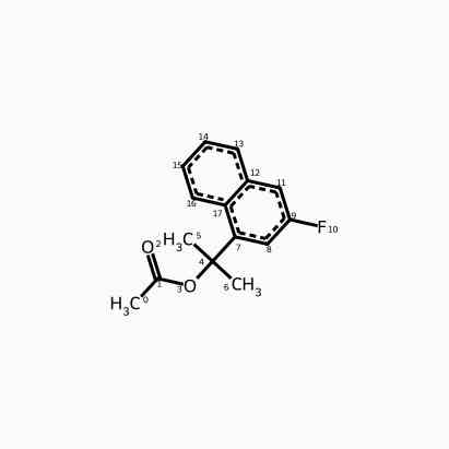 CC(=O)OC(C)(C)c1cc(F)cc2ccccc12